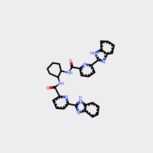 O=C(NC1CCCCC1NC(=O)c1cccc(-c2nc3ccccc3[nH]2)n1)c1cccc(-c2nc3ccccc3[nH]2)n1